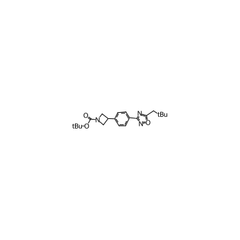 CC(C)(C)Cc1nc(-c2ccc(C3CN(C(=O)OC(C)(C)C)C3)cc2)no1